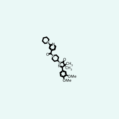 COc1ccc(C2=NN(C3CCN(C(=O)c4ccnc(N5CCCCC5)c4)CC3)C(=O)C2(C)C)cc1OC